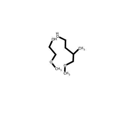 COCC(C)CCO.COCCO